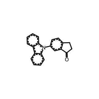 O=C1CCc2ccc(-n3c4ccccc4c4ccccc43)cc21